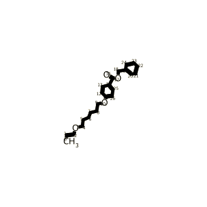 CC=COCCCCCCOc1ccc(C(=O)OCc2ccccc2)cc1